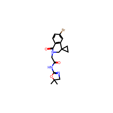 CC1(C)CN=C(NC(=O)CN2CC3(CC3)c3cc(Br)ccc3C2=O)O1